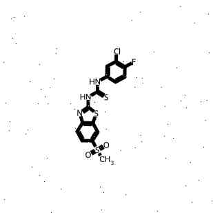 CS(=O)(=O)c1ccc2nc(NC(=S)Nc3ccc(F)c(Cl)c3)sc2c1